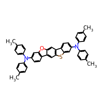 Cc1ccc(N(c2ccc(C)cc2)c2ccc3c(c2)oc2cc4c(cc23)sc2cc(N(c3ccc(C)cc3)c3ccc(C)cc3)ccc24)cc1